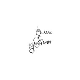 CC(=O)OC[C@H]1C[C@@H](C)CC[C@]1(C)[C@H]1CC[C@@]2(C)[C@@H](CC[C@@]2(O)c2cccs2)[C@@H]1CN=[N+]=[N-]